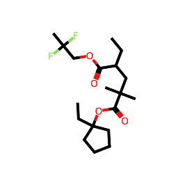 CCC(CC(C)(C)C(=O)OC1(CC)CCCC1)C(=O)OCC(C)(F)F